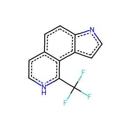 FC(F)(F)c1[nH]ccc2ccc3nccc3c12